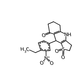 CCc1ccc(C2C3=C(CCCC3=O)NC3=C2S(=O)(=O)CC3)cc1[N+](=O)[O-]